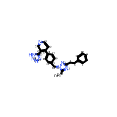 CCCc1nc(CCc2ccccc2)nn1Cc1ccc(-c2ccncc2-c2nnn[nH]2)cc1